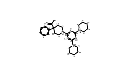 CC(=O)C1(c2ccccc2)CCN(c2nc(N3CCCCC3)nc(N3CCCCC3)n2)CC1